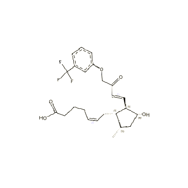 C[C@H]1C[C@@H](O)[C@H](/C=C/C(=O)COc2cccc(C(F)(F)F)c2)[C@H]1C/C=C\CCCC(=O)O